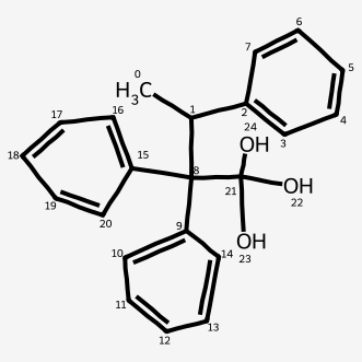 CC(c1ccccc1)C(c1ccccc1)(c1ccccc1)C(O)(O)O